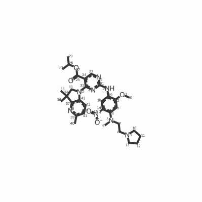 COc1cc(N(C)CCN2CCCC2)c([N+](=O)[O-])cc1Nc1ncc(C(=O)OC(C)C)c(N2CC(C)(C)c3nc(C)ccc32)n1